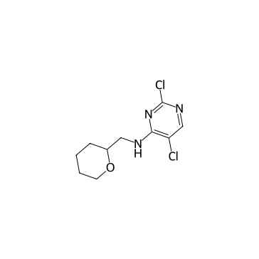 Clc1ncc(Cl)c(NCC2CCCCO2)n1